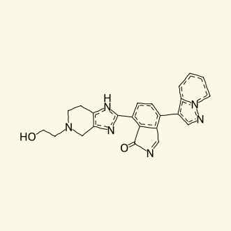 O=C1N=Cc2c(-c3cnn4ccccc34)ccc(-c3nc4c([nH]3)CCN(CCO)C4)c21